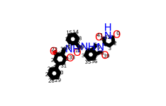 O=C1CCC(N2Cc3c(NC(=O)c4ccccc4NC=C4C(=O)CC(c5ccccc5)CC4=O)cccc3C2=O)C(=O)N1